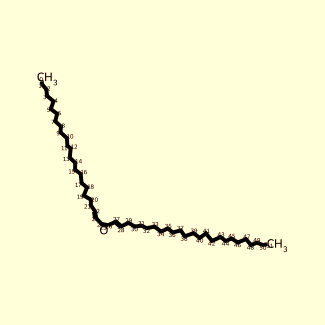 CCCCCCCCCCCCCCCCCCCCCCC=CC1OC1C=CCCCCCCCCCCCCCCCCCCCCCCC